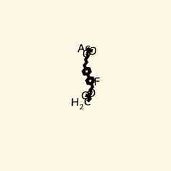 C=CC(=O)OCCc1ccc(-c2ccc(CCCCOC(=O)C(C)=O)cc2)cc1F